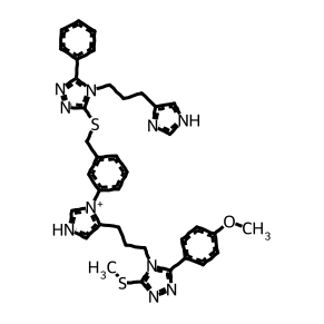 COc1ccc(-c2nnc(SC)n2CCCc2c[nH]c[n+]2-c2cccc(CSc3nnc(-c4ccccc4)n3CCCc3c[nH]cn3)c2)cc1